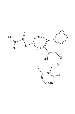 CN(C)C(=S)Oc1ccc(-c2ccccc2)c(C(CCl)NC(=O)c2c(F)cccc2F)c1